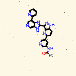 CCC(=O)Nc1cncc(-c2ccc3[nH]nc(-c4nc5c(-c6ccccn6)cncc5[nH]4)c3n2)c1